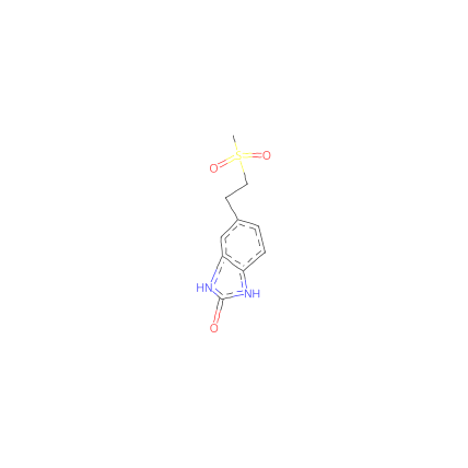 CS(=O)(=O)CCc1ccc2[nH]c(=O)[nH]c2c1